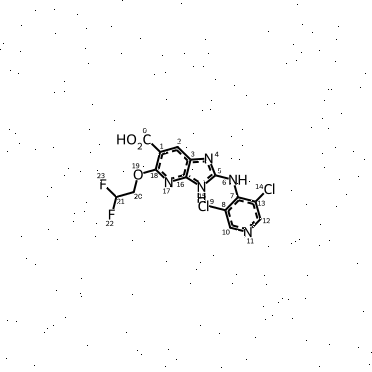 O=C(O)c1cc2nc(Nc3c(Cl)cncc3Cl)[nH]c2nc1OCC(F)F